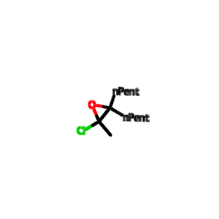 CCCCCC1(CCCCC)OC1(C)Cl